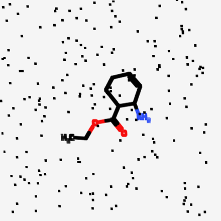 CCOC(=O)C1CCC=CC1N